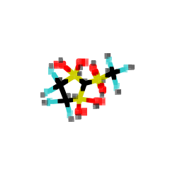 O=S(=O)(C1S(O)(O)C(F)(F)C(F)(F)S1(O)O)C(F)(F)F